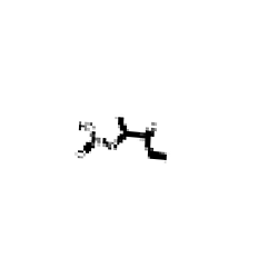 C=CC(=O)C(C)O[PH](=O)O